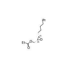 CCC(=O)OC[C@H]1O[C@H]1CCCCC(C)C